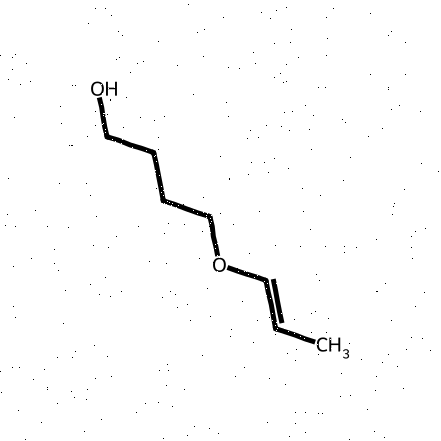 CC=COCCCCO